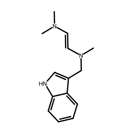 CN(C)C=CN(C)Cc1c[nH]c2ccccc12